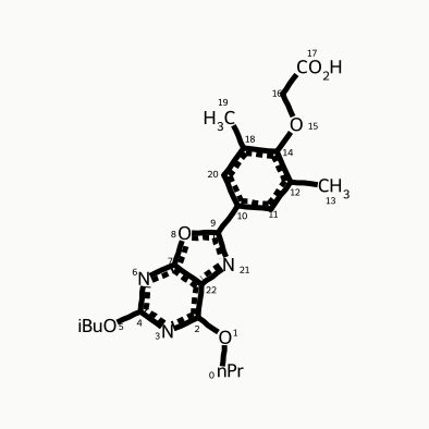 CCCOc1nc(OCC(C)C)nc2oc(-c3cc(C)c(OCC(=O)O)c(C)c3)nc12